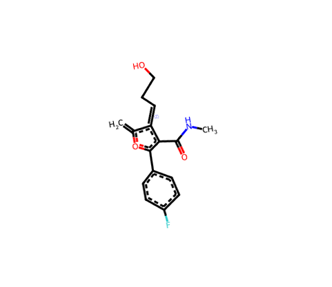 C=c1oc(-c2ccc(F)cc2)c(C(=O)NC)/c1=C/CCO